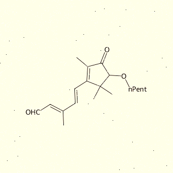 CCCCCOC1C(=O)C(C)=C(C=CC(C)=CC=O)C1(C)C